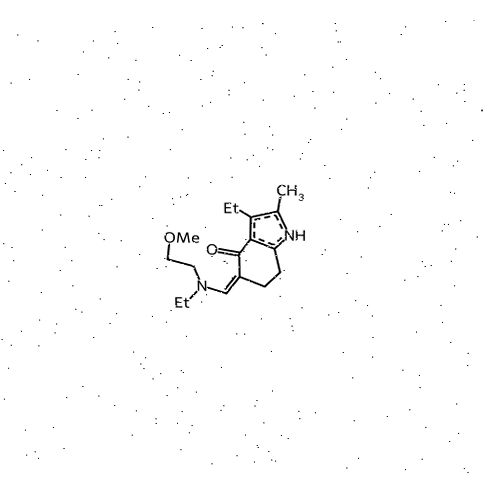 CCc1c(C)[nH]c2c1C(=O)/C(=C\N(CC)CCOC)CC2